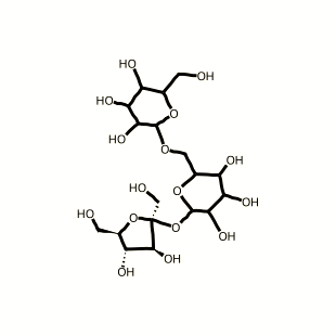 OCC1OC(OCC2OC(O[C@]3(CO)O[C@H](CO)[C@@H](O)[C@@H]3O)C(O)C(O)C2O)C(O)C(O)C1O